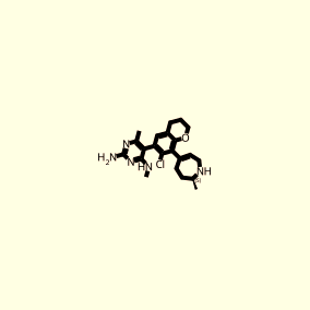 CNc1nc(N)nc(C)c1-c1cc2c(c(C3=CCN[C@@H](C)CC3)c1Cl)OCCC2